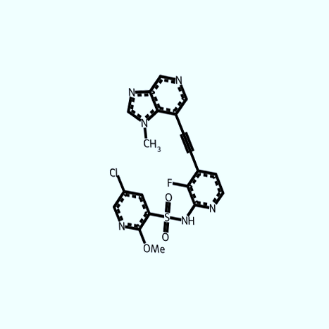 COc1ncc(Cl)cc1S(=O)(=O)Nc1nccc(C#Cc2cncc3ncn(C)c23)c1F